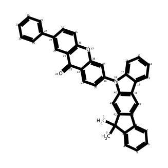 CC1(C)c2ccccc2-c2cc3c4ccccc4n(-c4ccc5c(=O)c6cc(-c7ccccc7)ccc6oc5c4)c3cc21